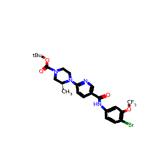 C[C@@H]1CN(C(=O)OC(C)(C)C)CCN1c1ccc(C(=O)Nc2ccc(Br)c(OC(F)(F)F)c2)cn1